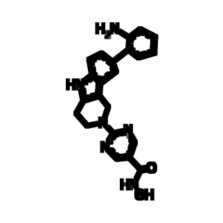 Nc1ccccc1-c1ccc2[nH]c3c(c2c1)CN(c1ncc(C(=O)NO)cn1)CC3